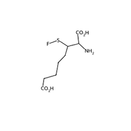 NC(C(=O)O)C(CCCCC(=O)O)SF